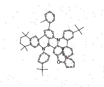 Cc1ccccc1-c1cc2c3c(c1)N(c1ccc(C(C)(C)C)cc1-c1ccccc1)c1cc4c(cc1B3N(c1ccc(C(C)(C)C)cc1)c1cc3c(cc1-2)C(C)(C)CCC3(C)C)oc1ccccc14